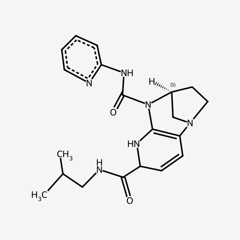 CC(C)CNC(=O)C1C=CC2=C(N1)N(C(=O)Nc1ccccn1)[C@H]1CCN2C1